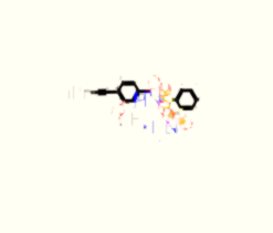 CC(C)C#Cc1ccc(C(=O)NS(=O)(=O)c2ccccc2S(N)(=O)=O)cc1OC(F)(F)F